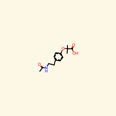 CC(=O)NCCc1ccc(OC(C)(C)C(=O)O)cc1